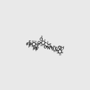 COc1cc(C=C2SC(N3CCN(c4ccccc4O)CC3)=NC2=O)ccc1OCc1ccc(C(F)(F)F)cc1C(F)(F)F